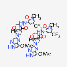 COc1c[nH]c2ncc(N3CC[C@@H]4[C@@H](C3)OCCN4C(=O)Nc3cc(C(F)(F)F)cn(C)c3=O)nc12.COc1c[nH]c2ncc(N3CC[C@H]4[C@H](C3)OCCN4C(=O)Nc3cc(C(F)(F)F)cn(C)c3=O)nc12